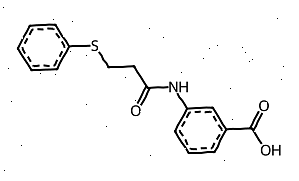 O=C(CCSc1ccccc1)Nc1cccc(C(=O)O)c1